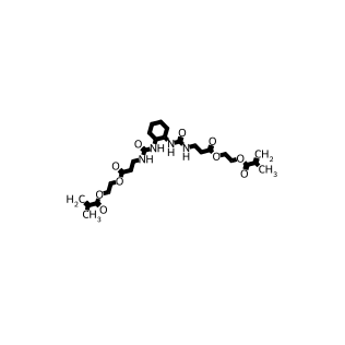 C=C(C)C(=O)OCCOC(=O)CCNC(=O)NC1CCCCC1NC(=O)NCCC(=O)OCCOC(=O)C(=C)C